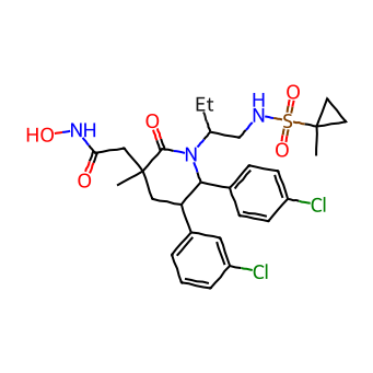 CCC(CNS(=O)(=O)C1(C)CC1)N1C(=O)C(C)(CC(=O)NO)CC(c2cccc(Cl)c2)C1c1ccc(Cl)cc1